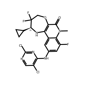 Cn1c(=O)c2c(c3cc(Nc4nc(Cl)ncc4Cl)cc(F)c31)N[C@@H](C1CC1)C(F)(F)CO2